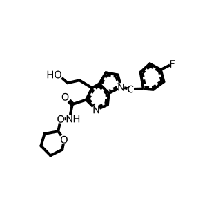 O=C(NOC1CCCCO1)c1ncc2c(ccn2Cc2ccc(F)cc2)c1CCO